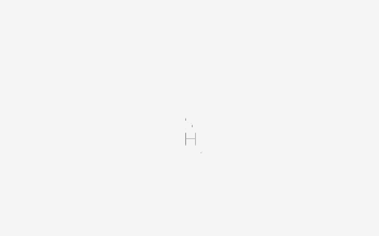 C1=C[SiH2]C=C1